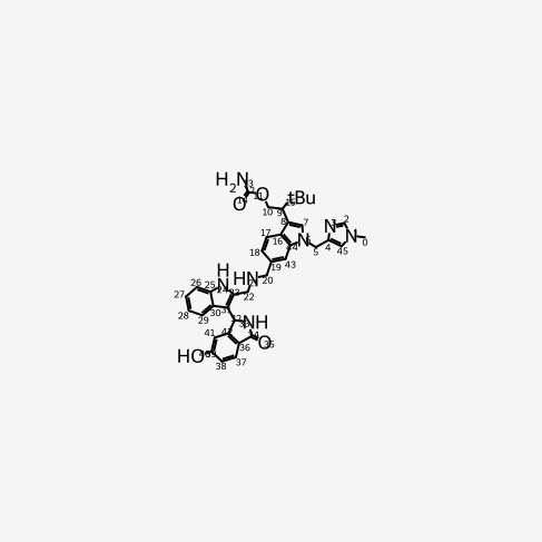 Cn1cnc(Cn2cc(C(COC(N)=O)C(C)(C)C)c3ccc(CNCc4[nH]c5ccccc5c4C4NC(=O)c5ccc(O)cc54)cc32)c1